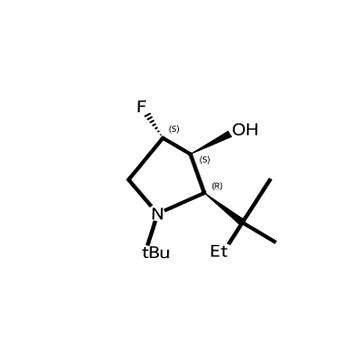 CCC(C)(C)[C@@H]1[C@H](O)[C@@H](F)CN1C(C)(C)C